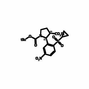 CCOC(=O)[C@@H]1CCN(C(=O)OC(C)(C)C)[C@@H]1c1cc([N+](=O)[O-])ccc1S(=O)(=O)C1CC1